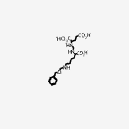 O=C(O)CCC(NCNC(CCCCNCOCc1ccccc1)C(=O)O)C(=O)O